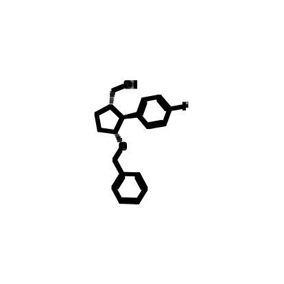 OC[C@H]1CC[C@@H](OCc2ccccc2)[C@@H]1c1ccc(F)cc1